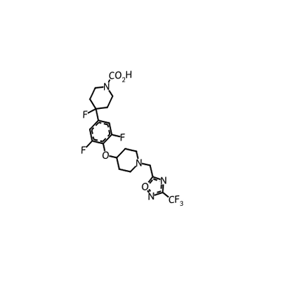 O=C(O)N1CCC(F)(c2cc(F)c(OC3CCN(Cc4nc(C(F)(F)F)no4)CC3)c(F)c2)CC1